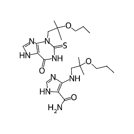 CCCOC(C)(C)CNc1nc[nH]c1C(N)=O.CCCOC(C)(C)Cn1c(=S)[nH]c(=O)c2[nH]cnc21